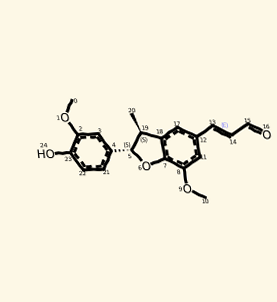 COc1cc([C@H]2Oc3c(OC)cc(/C=C/C=O)cc3[C@@H]2C)ccc1O